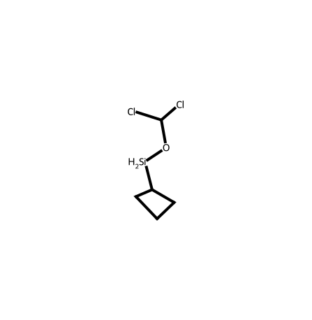 ClC(Cl)O[SiH2]C1CCC1